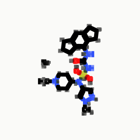 CN1CCC(N(c2cnn(C)c2)S(=O)(=O)NC(=O)Nc2c3c(cc4c2CCC4)CCC3)CC1.[Na]